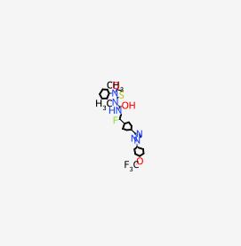 Cc1cccc(C)c1N1C(=O)CS/C1=N\C(O)N/C=C(\F)c1ccc(-c2ncn(-c3ccc(OC(F)(F)F)cc3)n2)cc1